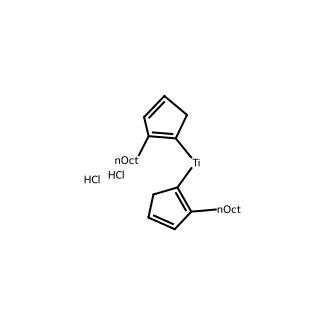 CCCCCCCCC1=[C]([Ti][C]2=C(CCCCCCCC)C=CC2)CC=C1.Cl.Cl